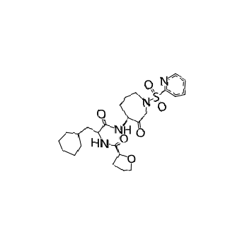 O=C(N[C@H]1CCCN(S(=O)(=O)c2ccccn2)CC1=O)C(CC1CCCCC1)NC(=O)[C@@H]1CCCO1